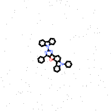 c1ccc(-c2nc(-n3c4ccccc4c4ccccc43)nc3c2oc2c3ccc3c2c2ccccc2n3-c2ccccc2)cc1